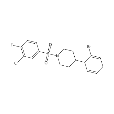 O=S(=O)(c1ccc(F)c(Cl)c1)N1CCC(C2C=CCC=C2Br)CC1